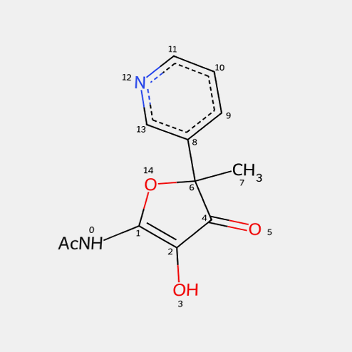 CC(=O)NC1=C(O)C(=O)C(C)(c2cccnc2)O1